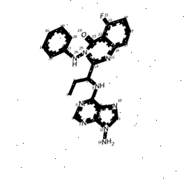 CCC(Nc1ncnc2c1ncn2N)c1nc2cccc(F)c2c(=O)n1Nc1ccccc1